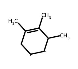 CC1=C(C)C(C)[CH][CH]C1